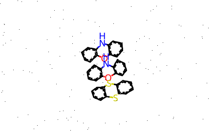 c1ccc2c(c1)Nc1ccccc1O2.c1ccc2c(c1)Nc1ccccc1O2.c1ccc2c(c1)Sc1ccccc1S2